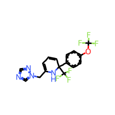 FC(F)(F)Oc1ccc(C2(C(F)(F)F)C=CC=C(Cn3cncn3)N2)cc1